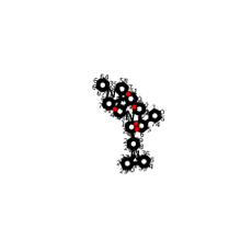 c1ccc(-c2ccccc2-c2ccccc2N(c2ccc(-c3ccc(-n4c5ccccc5c5ccccc54)cc3)cc2)c2cccc3c2-c2ccccc2C32c3ccccc3N(c3ccccc3)c3ccccc32)cc1